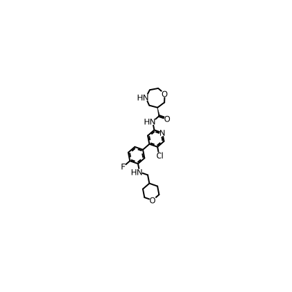 O=C(Nc1cc(-c2ccc(F)c(NCC3CCOCC3)c2)c(Cl)cn1)[C@H]1CNCCOC1